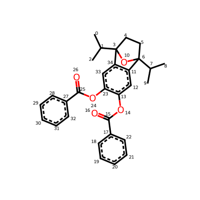 CC(C)C12CCC(C(C)C)(O1)c1cc(OC(=O)c3ccccc3)c(OC(=O)c3ccccc3)cc12